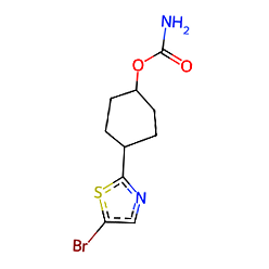 NC(=O)OC1CCC(c2ncc(Br)s2)CC1